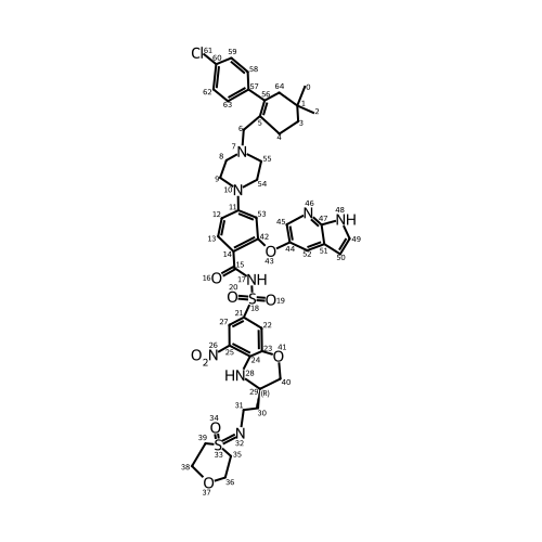 CC1(C)CCC(CN2CCN(c3ccc(C(=O)NS(=O)(=O)c4cc5c(c([N+](=O)[O-])c4)N[C@H](CCN=S4(=O)CCOCC4)CO5)c(Oc4cnc5[nH]ccc5c4)c3)CC2)=C(c2ccc(Cl)cc2)C1